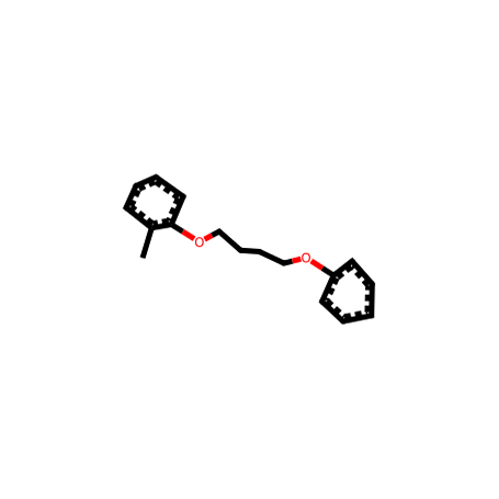 Cc1ccccc1OCCCCOc1ccccc1